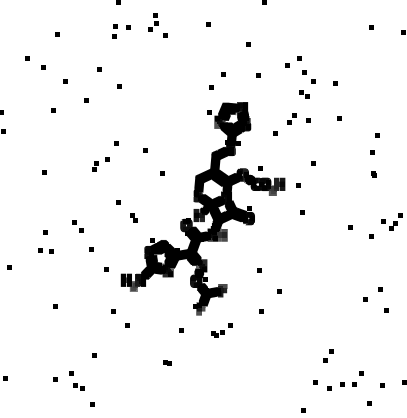 Nc1nc(C(=NOC(F)F)C(=O)NC2C(=O)N3C(OC(=O)O)=C(CSc4ncns4)CS[C@@H]23)cs1